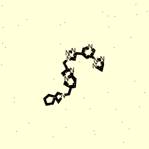 c1cnn(-c2cncc(-c3cn(Cc4cn5cc(CN6CC7(CCCC7)C6)ccc5n4)nn3)c2)n1